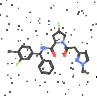 CC(C)c1ccc(C(NC(=O)C2CC(F)CN2C(=O)Cc2ccn(C)n2)c2ccccc2)cc1F